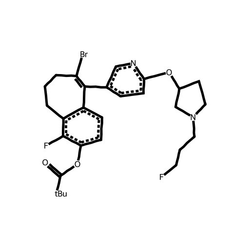 CC(C)(C)C(=O)Oc1ccc2c(c1F)CCCC(Br)=C2c1ccc(OC2CCN(CCCF)C2)nc1